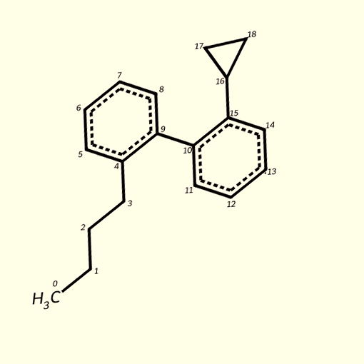 CCCCc1ccccc1-c1cc[c]cc1C1CC1